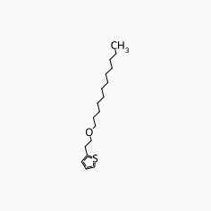 CCCCCCCCCCCCOCCc1cccs1